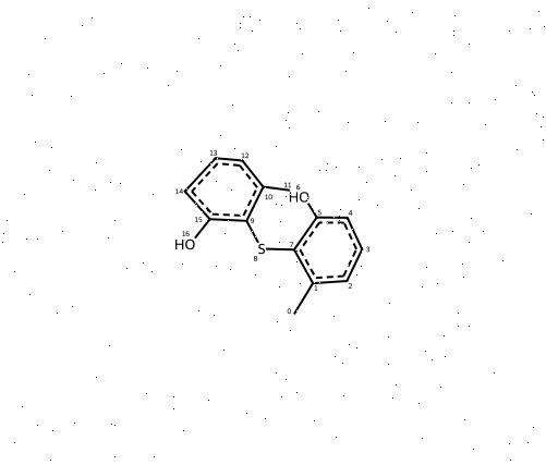 Cc1cccc(O)c1Sc1c(C)cccc1O